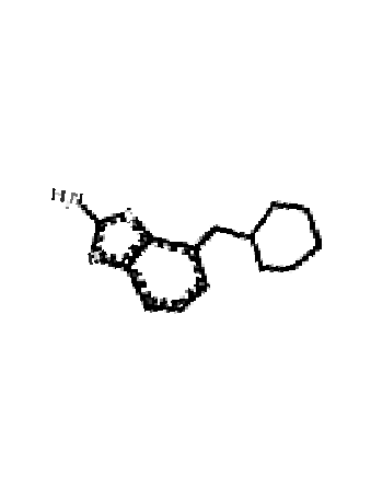 Nc1nc2cccc(CC3CCCCC3)c2s1